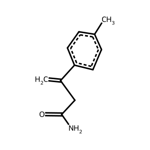 C=C(CC(N)=O)c1ccc(C)cc1